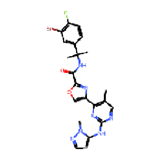 Cc1cnc(Nc2ccnn2C)nc1-c1coc(C(=O)NC(C)(C)c2ccc(F)c(Br)c2)n1